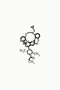 C=CC(=O)N1C[C@H](C)N(c2nc(=O)n3c4nc(c(F)cc24)-c2c(F)cccc2N(CC2CC2)CCSc2ccnc(C(C)C)c2-3)C[C@H]1C